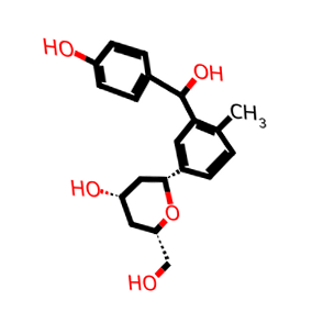 Cc1ccc([C@H]2C[C@@H](O)C[C@@H](CO)O2)cc1C(O)c1ccc(O)cc1